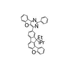 CCC1(C(C)C)c2cc(-c3nc(-c4ccccc4)nc4c3oc3ccccc34)ccc2-c2ccc3oc4ccccc4c3c21